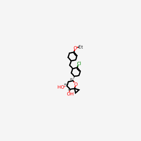 CCOC1=CCC(CC2CC([C@H]3C[C@@H](O)[C@H](O)C4(CC4)O3)CC=C2Cl)CC1